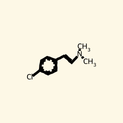 CN(C)C=Cc1ccc(Cl)cc1